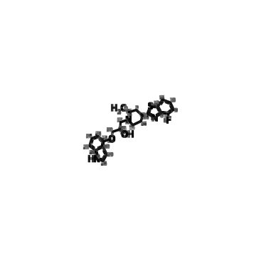 C[C@@H]1C[C@H](c2nc3c(F)cccc3s2)CCN1C[C@H](O)COc1cccc2[nH]ccc12